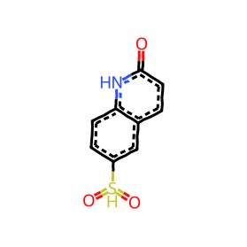 O=c1ccc2cc([SH](=O)=O)ccc2[nH]1